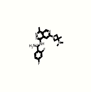 Cc1nnc(N[C@H](N)c2ccc(F)cc2F)c2cc(N3CC(C)(N(C)C)C3)ncc12